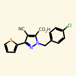 N#Cc1c(-c2cccs2)nn(Cc2ccc(Cl)cc2)c1C(=O)O